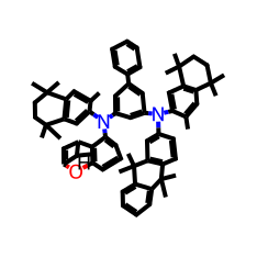 Cc1cc2c(cc1N(c1cc(-c3ccccc3)cc(N(c3cc4c(cc3C)C(C)(C)CCC4(C)C)c3cccc4c3C3C=C(O4)[C@@H]3C)c1)c1ccc3c(c1)C(C)(C)c1ccccc1C3(C)C)C(C)(C)CCC2(C)C